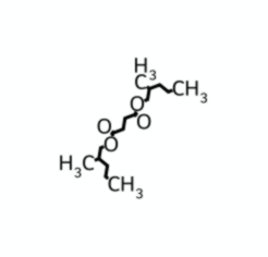 CCCC(C)COC(=O)CCC(=O)OCC(C)CCC